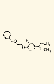 C=C/C(=C\C)c1ccc(OCCOCc2ccccc2)c(F)c1